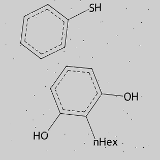 CCCCCCc1c(O)cccc1O.Sc1ccccc1